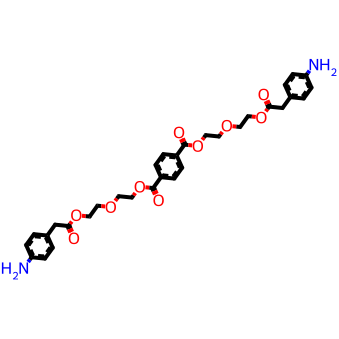 Nc1ccc(CC(=O)OCCOCCOC(=O)c2ccc(C(=O)OCCOCCOC(=O)Cc3ccc(N)cc3)cc2)cc1